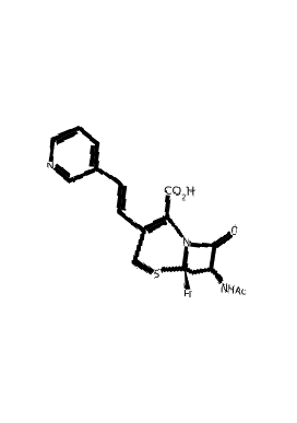 CC(=O)NC1C(=O)N2C(C(=O)O)=C(C=Cc3cccnc3)CS[C@@H]12